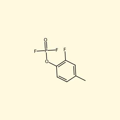 Cc1ccc(OP(=O)(F)F)c(F)c1